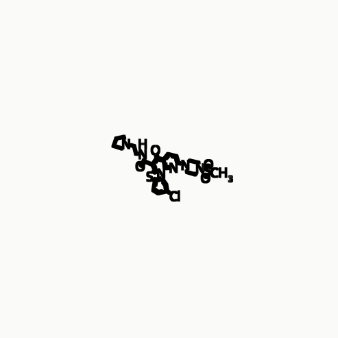 CS(=O)(=O)N1CCN(c2ccc3c(=O)c(C(=O)NCCN4CCCC4)c4sc5ccc(Cl)cc5n4c3n2)CC1